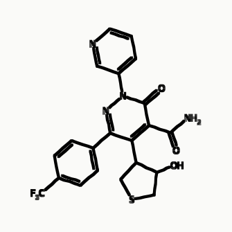 NC(=O)c1c(C2CSCC2O)c(-c2ccc(C(F)(F)F)cc2)nn(-c2cccnc2)c1=O